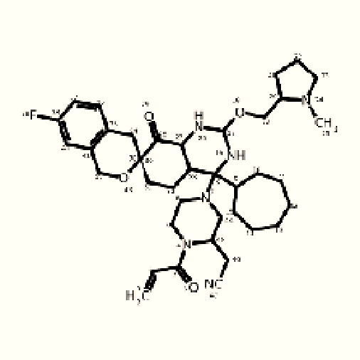 C=CC(=O)N1CCN(C2(C3CCCCCC3)NC(OCC3CCCN3C)NC3C(=O)[C@@]4(CCC32)Cc2ccc(F)cc2CO4)CC1CC#N